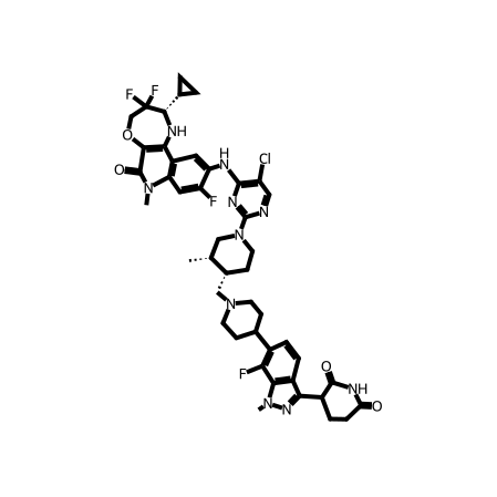 C[C@@H]1CN(c2ncc(Cl)c(Nc3cc4c5c(c(=O)n(C)c4cc3F)OCC(F)(F)[C@H](C3CC3)N5)n2)CC[C@@H]1CN1CCC(c2ccc3c(C4CCC(=O)NC4=O)nn(C)c3c2F)CC1